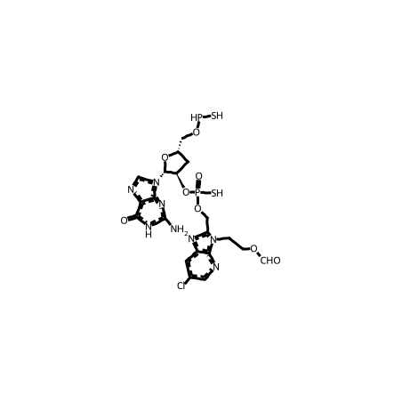 Nc1nc2c(ncn2[C@@H]2O[C@H](COPS)C[C@H]2OP(=O)(S)OCc2nc3cc(Cl)cnc3n2CCOC=O)c(=O)[nH]1